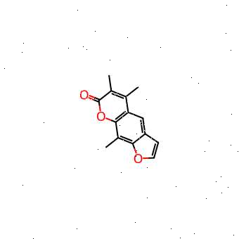 Cc1c(C)c2cc3ccoc3c(C)c2oc1=O